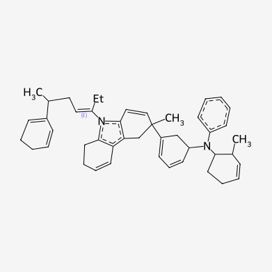 CC/C(=C\CC(C)C1=CCCC=C1)n1c2c(c3c1CCC=C3)CC(C)(C1=CC=CC(N(c3ccccc3)C3CCC=CC3C)C1)C=C2